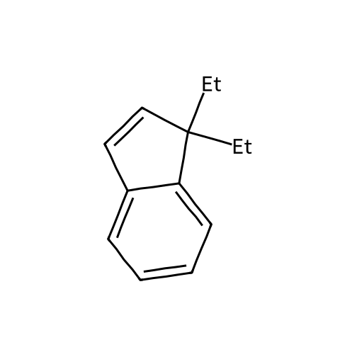 CCC1(CC)C=Cc2ccccc21